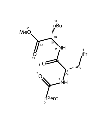 CCCCCC(=O)N[C@@H](CC(C)C)C(=O)N[C@@H](CCCC)C(=O)OC